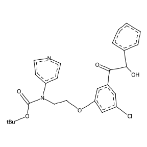 CC(C)(C)OC(=O)N(CCOc1cc(Cl)cc(C(=O)C(O)c2ccccc2)c1)c1ccncc1